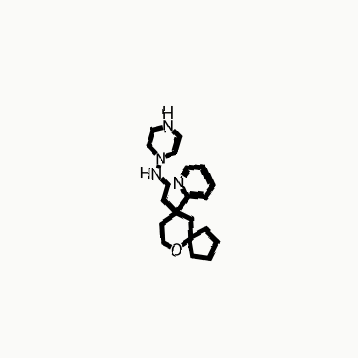 C1=CN(NCCC2(c3ccccn3)CCOC3(CCCC3)C2)CCN1